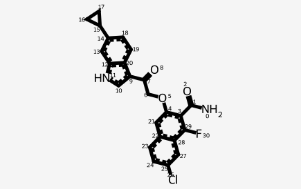 NC(=O)c1c(OCC(=O)c2c[nH]c3cc(C4CC4)ccc23)cc2ccc(Cl)cc2c1F